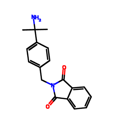 CC(C)(N)c1ccc(CN2C(=O)c3ccccc3C2=O)cc1